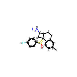 Cc1ccc2c(c1)CCC1C(N)CC21[S+]([O-])c1ccc(F)cc1